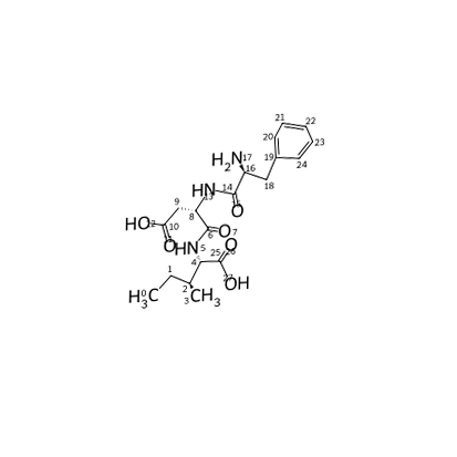 CC[C@H](C)[C@H](NC(=O)[C@H](CC(=O)O)NC(=O)[C@@H](N)Cc1ccccc1)C(=O)O